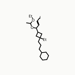 CCOC(C)OC(C=CI)C1CC(CC)(CCCC2CCCCC2)C1